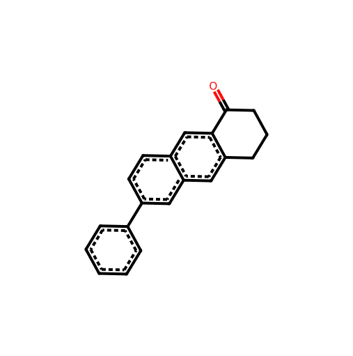 O=C1CCCc2cc3cc(-c4ccccc4)ccc3cc21